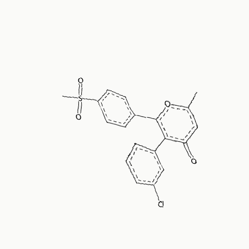 Cc1cc(=O)c(-c2cccc(Cl)c2)c(-c2ccc(S(C)(=O)=O)cc2)o1